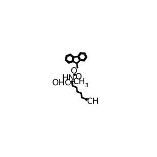 C#CCCCCC[C@](C)(C=O)NC(=O)OCC1c2ccccc2-c2ccccc21